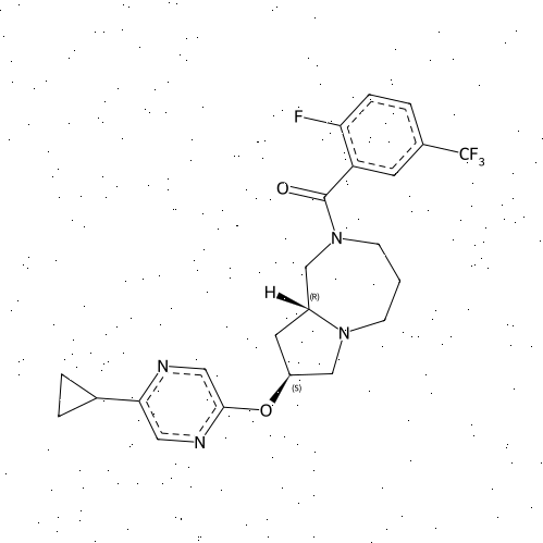 O=C(c1cc(C(F)(F)F)ccc1F)N1CCCN2C[C@@H](Oc3cnc(C4CC4)cn3)C[C@@H]2C1